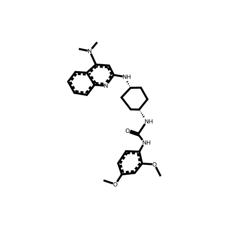 COc1ccc(NC(=O)N[C@H]2CC[C@@H](Nc3cc(N(C)C)c4ccccc4n3)CC2)c(OC)c1